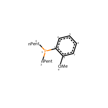 CCCCCP(CCCCC)c1ccccc1OC